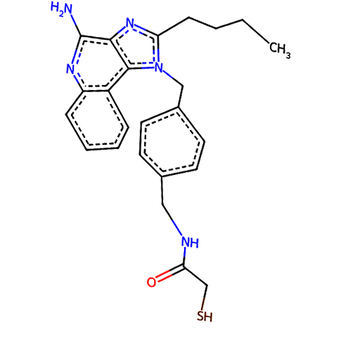 CCCCc1nc2c(N)nc3ccccc3c2n1Cc1ccc(CNC(=O)CS)cc1